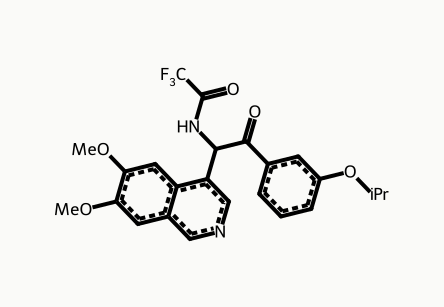 COc1cc2cncc(C(NC(=O)C(F)(F)F)C(=O)c3cccc(OC(C)C)c3)c2cc1OC